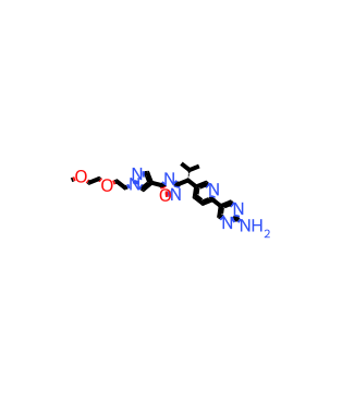 COCCOCCn1cc(-c2nc([C@@H](c3ccc(-c4cnc(N)nc4)nc3)C(C)C)no2)cn1